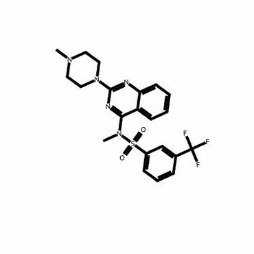 CN1CCN(c2nc(N(C)S(=O)(=O)c3cccc(C(F)(F)F)c3)c3ccccc3n2)CC1